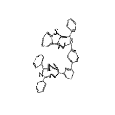 c1ccc(-c2nc(-c3ccccc3)nc(-c3cccc(-c4cccc(-c5nc(-c6ccccc6)c6sc7ccccc7c6n5)c4)c3)n2)cc1